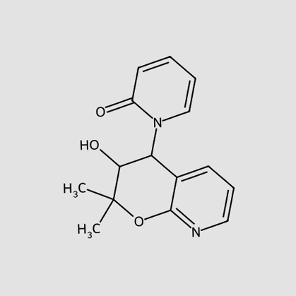 CC1(C)Oc2ncccc2C(n2ccccc2=O)C1O